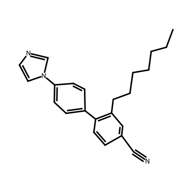 CCCCCCCc1cc(C#N)ccc1-c1ccc(-n2ccnc2)cc1